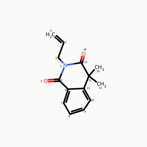 C=CCN1C(=O)c2ccccc2C(C)(C)C1=O